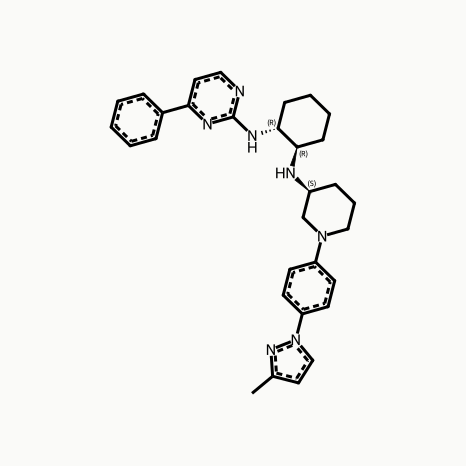 Cc1ccn(-c2ccc(N3CCC[C@H](N[C@@H]4CCCC[C@H]4Nc4nccc(-c5ccccc5)n4)C3)cc2)n1